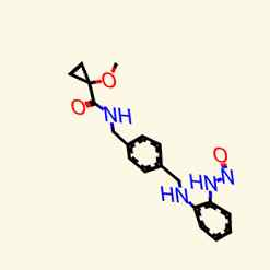 COC1(C(=O)NCc2ccc(CNc3ccccc3NN=O)cc2)CC1